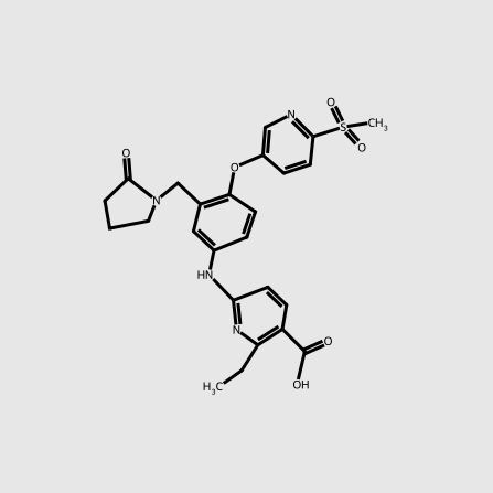 CCc1nc(Nc2ccc(Oc3ccc(S(C)(=O)=O)nc3)c(CN3CCCC3=O)c2)ccc1C(=O)O